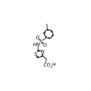 Cc1cccc(S(=O)(=O)Nc2nc(CC(=O)O)cs2)c1